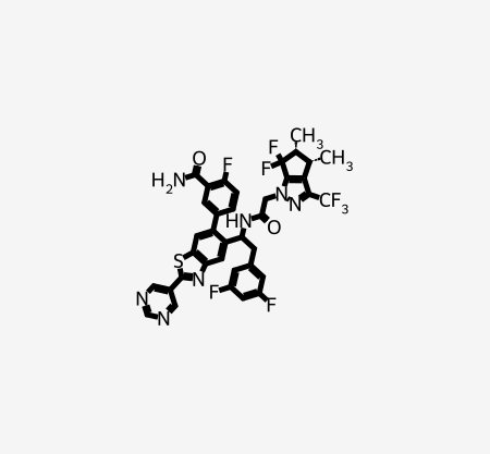 C[C@@H]1c2c(C(F)(F)F)nn(CC(=O)NC(Cc3cc(F)cc(F)c3)c3cc4nc(-c5cncnc5)sc4cc3-c3ccc(F)c(C(N)=O)c3)c2C(F)(F)[C@@H]1C